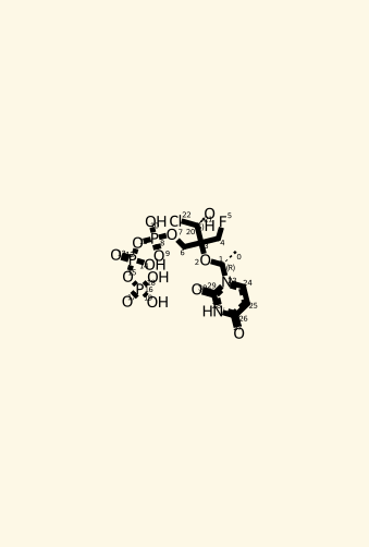 C[C@@H](OC(CF)(COP(=O)(O)OP(=O)(O)OP(=O)(O)O)[C@@H](O)Cl)n1ccc(=O)[nH]c1=O